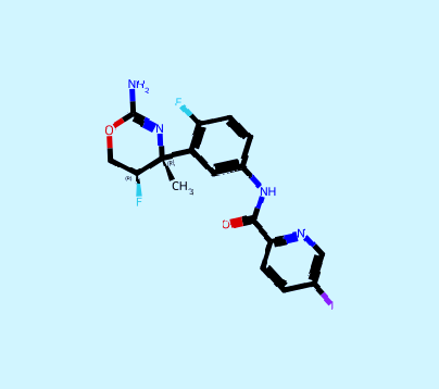 C[C@]1(c2cc(NC(=O)c3ccc(I)cn3)ccc2F)N=C(N)OC[C@@H]1F